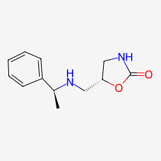 C[C@H](NC[C@@H]1CNC(=O)O1)c1ccccc1